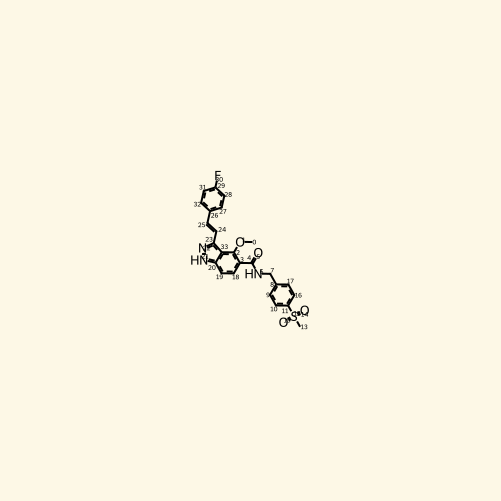 COc1c(C(=O)NCc2ccc(S(C)(=O)=O)cc2)ccc2[nH]nc(C=Cc3ccc(F)cc3)c12